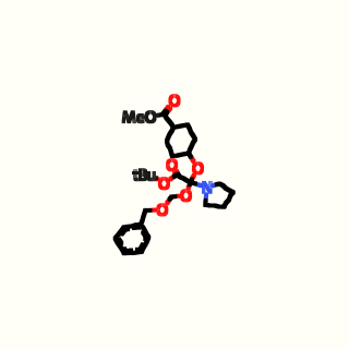 COC(=O)C1CCC(OC(OCOCc2ccccc2)(C(=O)OC(C)(C)C)N2CCCC2)CC1